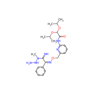 CC(C)OC(OC(C)C)C(=O)Nc1cccc(CO/N=C(\C(=N)N(C)NN)c2ccccc2)n1